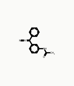 CC(=O)Nc1cccc(C(=[N+]=[N-])c2ccccc2)c1